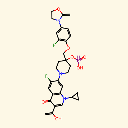 C=C(O)c1cn(C2CC2)c2cc(N3CCC(COc4ccc(N5CCOC5=C)cc4F)(O[PH](=O)O)CC3)c(F)cc2c1=O